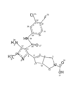 Cn1nc(C2=CC3CN(C(=O)O)CC3C2)c(C(=O)Nc2ccc(F)c(Cl)c2)c1N